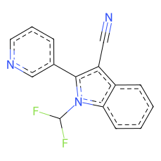 N#Cc1c(-c2cccnc2)n(C(F)F)c2ccccc12